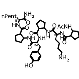 CCCCC[C@H](NC(=O)C1CCCC1NC(=O)[C@H](Cc1ccc(O)cc1)NC(=O)C1CCCC1NC(=O)[C@H](CCCCN)NC(=O)C1CCCC1NC(C)=O)C(N)=O